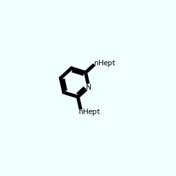 CCCCCCCc1cccc(CCCCCCC)n1